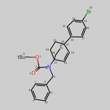 CC(C)(C)OC(=O)N(Cc1ccccc1)C12C=CC(c3ccc(Br)cc3)(CC1)CC2